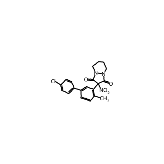 Cc1ccc(-c2ccc(Cl)cc2)cc1C1([N+](=O)[O-])C(=O)N2CCCCN2C1=O